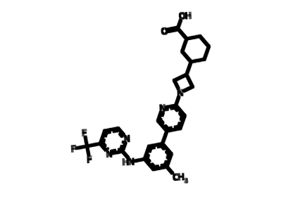 Cc1cc(Nc2nccc(C(F)(F)F)n2)cc(-c2ccc(N3CC(C4CCCC(C(=O)O)C4)C3)nc2)c1